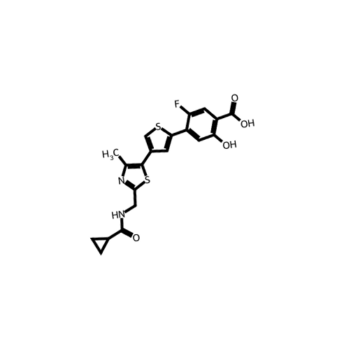 Cc1nc(CNC(=O)C2CC2)sc1-c1csc(-c2cc(O)c(C(=O)O)cc2F)c1